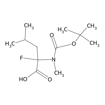 CC(C)CC(F)(C(=O)O)N(C)C(=O)OC(C)(C)C